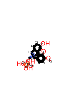 COc1ccc2c3c1OC1C(O)C=CC4C(C2)N(C)CCC341.O=P(O)(O)O